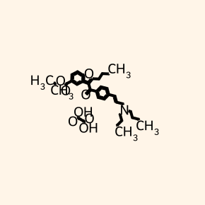 CCCCc1oc2ccc(C(=O)OC(C)C)cc2c1C(=O)c1ccc(C=CCN(CCCC)CCCC)cc1.O=C(O)C(=O)O